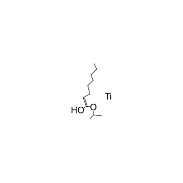 CCCCCCC=C(O)OC(C)C.[Ti]